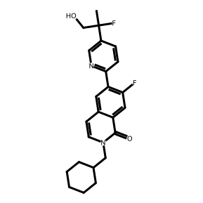 CC(F)(CO)c1ccc(-c2cc3ccn(CC4CCCCC4)c(=O)c3cc2F)nc1